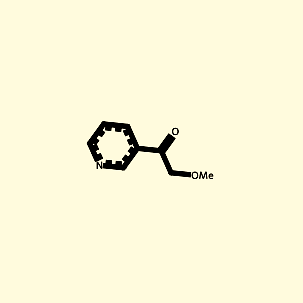 COCC(=O)c1[c]nccc1